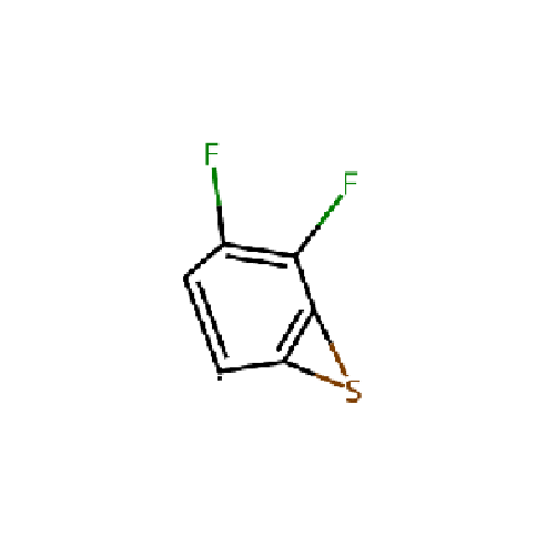 Fc1c[c]c2c(c1F)S2